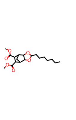 CCCCCCCC1OC2C3CC(C2O1)C(C(=O)OC)C3C(=O)OC